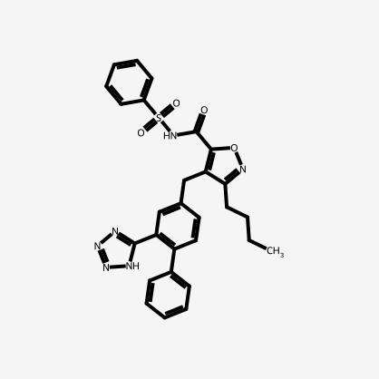 CCCCc1noc(C(=O)NS(=O)(=O)c2ccccc2)c1Cc1ccc(-c2ccccc2)c(-c2nnn[nH]2)c1